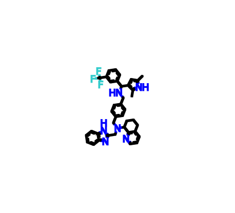 Cc1cc(C(NCc2ccc(CN(Cc3nc4ccccc4[nH]3)C3CCCc4cccnc43)cc2)c2cccc(C(F)(F)F)c2)c(C)[nH]1